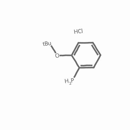 CC(C)(C)Oc1ccccc1P.Cl